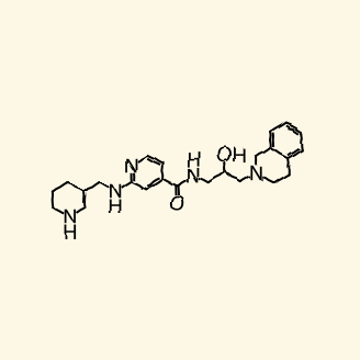 O=C(NCC(O)CN1CCc2ccccc2C1)c1ccnc(NCC2CCCNC2)c1